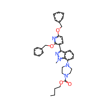 CCCCOC(=O)N1CCN(c2cccc3c(-c4ccc(OCc5ccccc5)nc4OCc4ccccc4)nn(C)c23)CC1